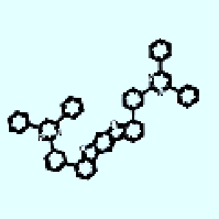 C1=CC(c2nc(-c3ccccc3)cc(-c3ccccc3)n2)CC(c2cccc3c2oc2cc4oc5c(-c6cccc(-c7nc(-c8ccccc8)cc(-c8ccccc8)n7)c6)cccc5c4cc23)=C1